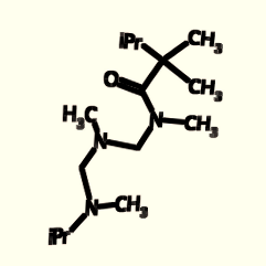 CC(C)N(C)CN(C)CN(C)C(=O)C(C)(C)C(C)C